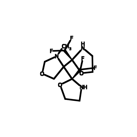 CN1COCC1([C@]1(C(F)F)NCCO1)[C@]1(C(F)F)NCCO1